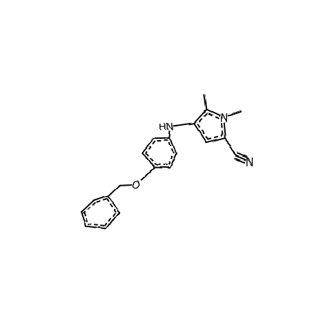 Cc1c(Nc2ccc(OCc3ccccc3)cc2)cc(C#N)n1C